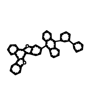 c1ccc(-c2cccc(-c3c4ccccc4c(-c4ccc5c(c4)oc4c6ccccc6c6c7ccccc7oc6c54)c4ccccc34)c2)cc1